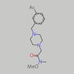 CON(C)C(=O)CN1CCN(Cc2cccc(C(C)=O)c2)CC1